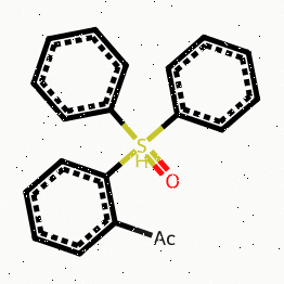 CC(=O)c1ccccc1[SH](=O)(c1ccccc1)c1ccccc1